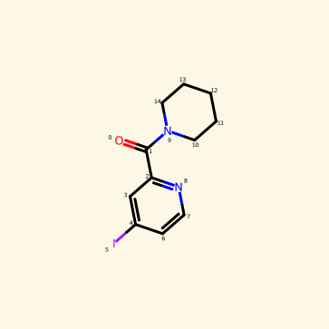 O=C(c1cc(I)ccn1)N1CCCCC1